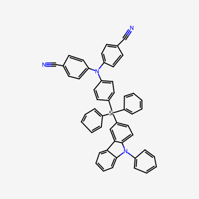 N#Cc1ccc(N(c2ccc(C#N)cc2)c2ccc([Si](c3ccccc3)(c3ccccc3)c3ccc4c(c3)c3ccccc3n4-c3ccccc3)cc2)cc1